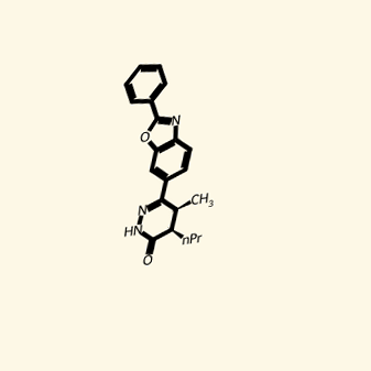 CCC[C@H]1C(=O)NN=C(c2ccc3nc(-c4ccccc4)oc3c2)[C@H]1C